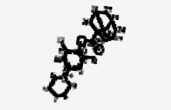 Cc1cc([S+]2CCCCC2)cc(C)c1OC(=O)C12CC3CC(CC(C3)C1)C2